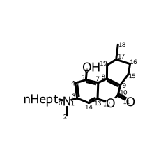 CCCCCCCN(C)c1cc(O)c2c3c(c(=O)oc2c1)CCC(C)C3